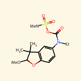 CCN(C(=O)OS(=O)(=O)NC)c1ccc2c(c1)C(C)(C)C(OC)O2